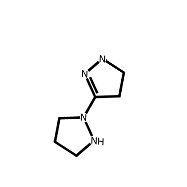 C1CNN(C2=N[N]CC2)C1